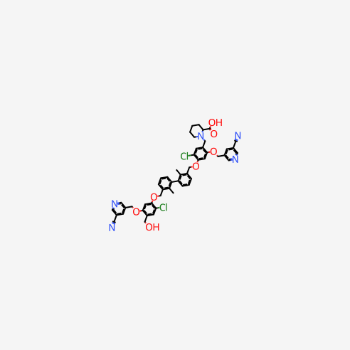 Cc1c(COc2cc(OCc3cncc(C#N)c3)c(CO)cc2Cl)cccc1-c1cccc(COc2cc(OCc3cncc(C#N)c3)c(CN3CCCCC3C(=O)O)cc2Cl)c1C